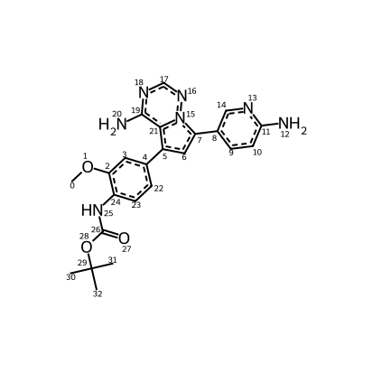 COc1cc(-c2cc(-c3ccc(N)nc3)n3ncnc(N)c23)ccc1NC(=O)OC(C)(C)C